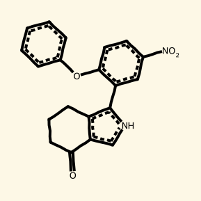 O=C1CCCc2c1c[nH]c2-c1cc([N+](=O)[O-])ccc1Oc1ccccc1